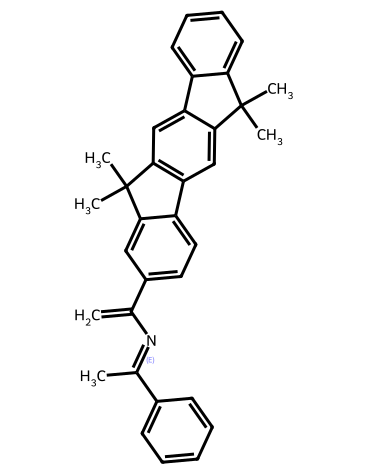 C=C(/N=C(\C)c1ccccc1)c1ccc2c(c1)C(C)(C)c1cc3c(cc1-2)C(C)(C)c1ccccc1-3